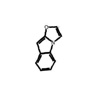 [c]1cn2c(cc3ccccc32)o1